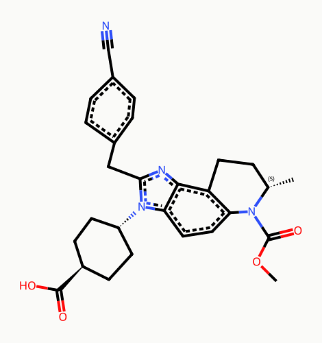 COC(=O)N1c2ccc3c(nc(Cc4ccc(C#N)cc4)n3[C@H]3CC[C@H](C(=O)O)CC3)c2CC[C@@H]1C